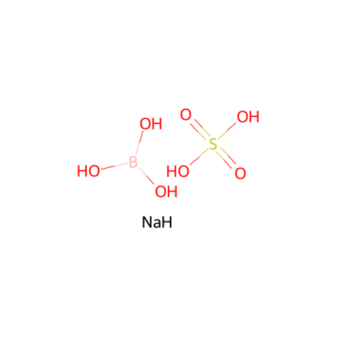 O=S(=O)(O)O.OB(O)O.[NaH]